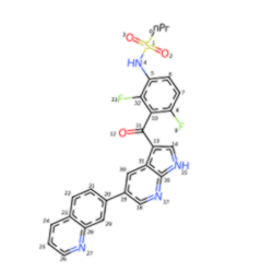 CCCS(=O)(=O)Nc1ccc(F)c(C(=O)c2c[nH]c3ncc(-c4ccc5cccnc5c4)cc23)c1F